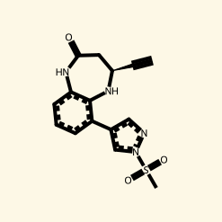 C#C[C@@H]1CC(=O)Nc2cccc(-c3cnn(S(C)(=O)=O)c3)c2N1